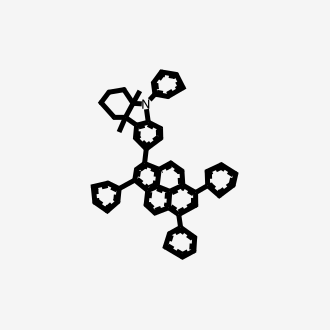 CC12CCCCC1(C)N(c1ccccc1)c1ccc(-c3cc(-c4ccccc4)c4ccc5c(-c6ccccc6)cc(-c6ccccc6)c6ccc3c4c56)cc12